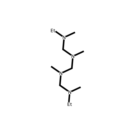 CCN(C)CN(C)CN(C)CN(C)CC